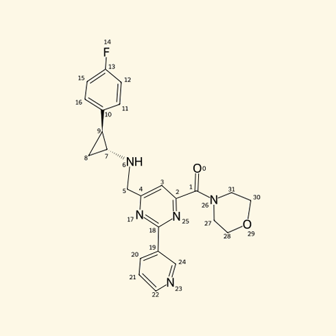 O=C(c1cc(CN[C@@H]2C[C@H]2c2ccc(F)cc2)nc(-c2cccnc2)n1)N1CCOCC1